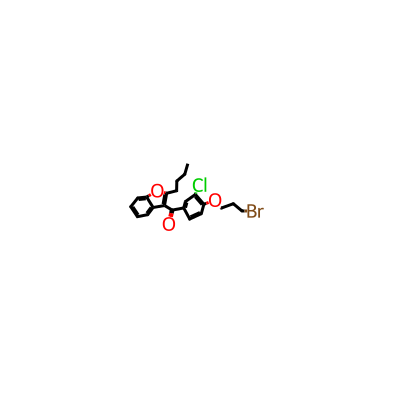 CCCCc1oc2ccccc2c1C(=O)c1ccc(OCCCBr)c(Cl)c1